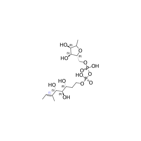 C/C=C(\C)[C@H](O)[C@H](O)[C@H](O)CCOP(=O)(O)OP(=O)(O)OC[C@H]1OC(C)[C@H](O)[C@@H]1O